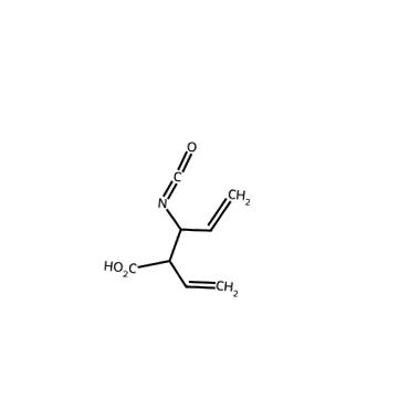 C=CC(N=C=O)C(C=C)C(=O)O